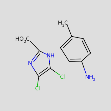 Cc1ccc(N)cc1.O=C(O)c1nc(Cl)c(Cl)[nH]1